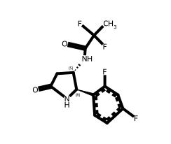 CC(F)(F)C(=O)N[C@H]1CC(=O)N[C@@H]1c1ccc(F)cc1F